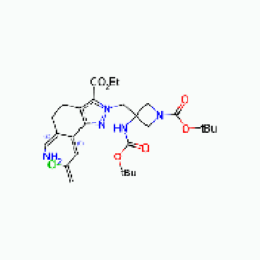 C=C(Cl)/C=C1\C(=C/N)CCc2c1nn(CC1(NC(=O)OC(C)(C)C)CN(C(=O)OC(C)(C)C)C1)c2C(=O)OCC